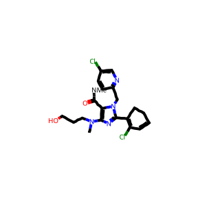 CNC(=O)c1c(N(C)CCCO)nc(C2=C(Cl)C=CCC2)n1Cc1ccc(Cl)cn1